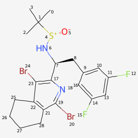 CC(C)(C)[S@+]([O-])N[C@@H](Cc1cc(F)cc(F)c1)c1nc(Br)c2c(c1Br)CCCC2